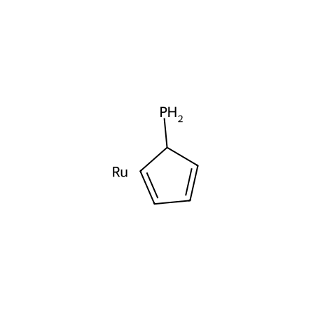 PC1C=CC=C1.[Ru]